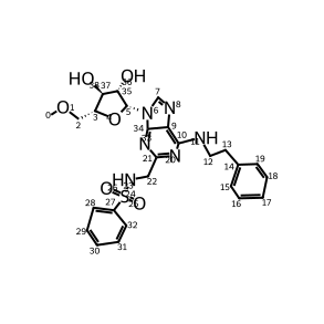 COC[C@H]1O[C@@H](n2cnc3c(NCCc4ccccc4)nc(CNS(=O)(=O)c4ccccc4)nc32)[C@@H](O)[C@@H]1O